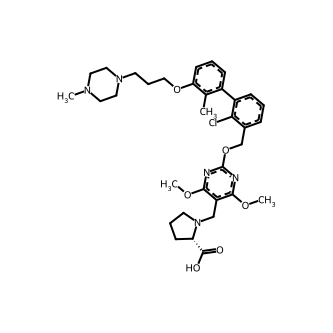 COc1nc(OCc2cccc(-c3cccc(OCCCN4CCN(C)CC4)c3C)c2Cl)nc(OC)c1CN1CCC[C@H]1C(=O)O